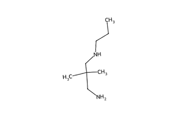 CCCNCC(C)(C)CN